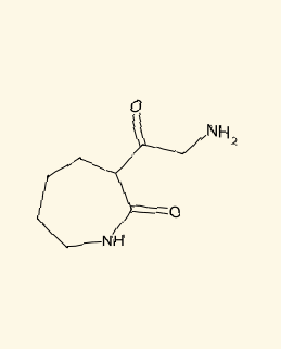 NCC(=O)C1CCCCNC1=O